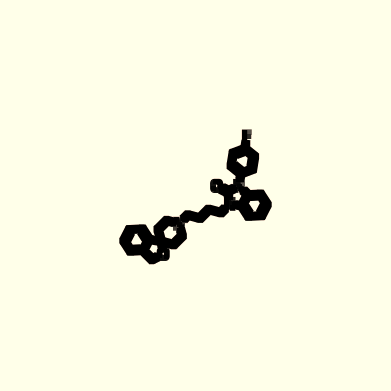 O=c1n(CCCCN2CCC3(CC2)OCc2ccccc23)c2ccccc2n1-c1ccc(F)cc1